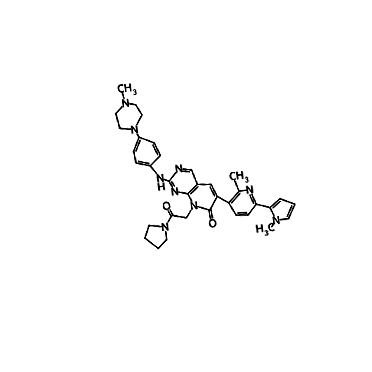 Cc1nc(-c2cccn2C)ccc1-c1cc2cnc(Nc3ccc(N4CCN(C)CC4)cc3)nc2n(CC(=O)N2CCCC2)c1=O